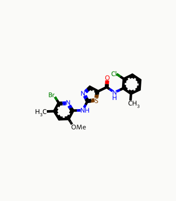 COc1cc(C)c(Br)nc1Nc1ncc(C(=O)Nc2c(C)cccc2Cl)s1